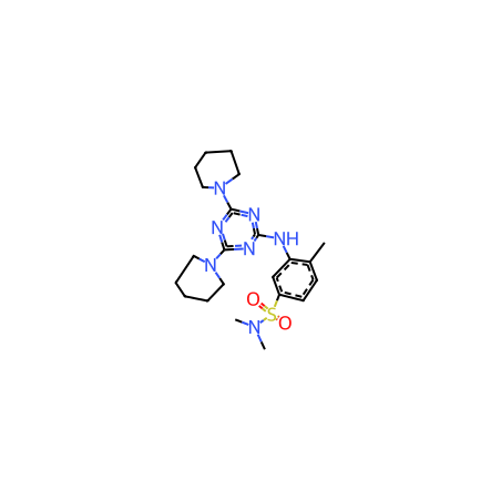 Cc1ccc(S(=O)(=O)N(C)C)cc1Nc1nc(N2CCCCC2)nc(N2CCCCC2)n1